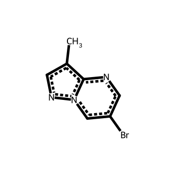 Cc1cnn2cc(Br)cnc12